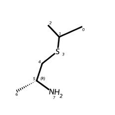 CC(C)SC[C@@H](C)N